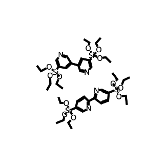 CCO[Si](OCC)(OCC)c1ccc(-c2ccc([Si](OCC)(OCC)OCC)cn2)nc1.CCO[Si](OCC)(OCC)c1cncc(-c2cncc([Si](OCC)(OCC)OCC)c2)c1